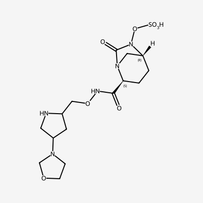 O=C(NOCC1CC(N2CCOC2)CN1)[C@@H]1CC[C@@H]2CN1C(=O)N2OS(=O)(=O)O